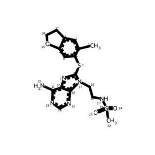 Cc1cc2c(cc1Sc1nc3c(N)ncnc3n1CCNS(C)(=O)=O)OCC2